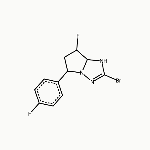 Fc1ccc(C2CC(F)C3NC(Br)=NN23)cc1